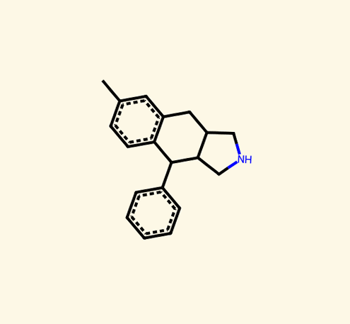 Cc1ccc2c(c1)CC1CNCC1C2c1ccccc1